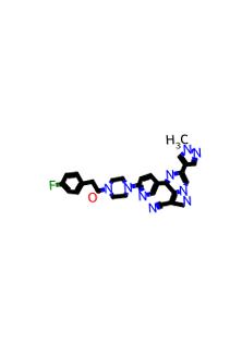 Cn1cc(-c2cn3ncc(C#N)c3c(-c3ccc(N4CCN(C(=O)Cc5ccc(F)cc5)CC4)nc3)n2)cn1